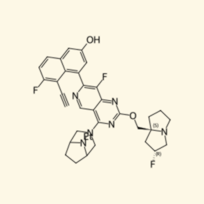 C#Cc1c(F)ccc2cc(O)cc(-c3ncc4c(N5CC6CCC(C5)N6CC)nc(OC[C@@]56CCCN5C[C@H](F)C6)nc4c3F)c12